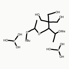 CCCCOC(C)OC(C(C)OC)C(CO)(CO)CO.OP(O)O.OP(O)O